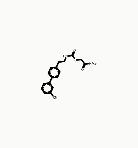 CNC(=O)COC(=O)NCCc1ccc(-c2cccc(C#N)c2)cc1